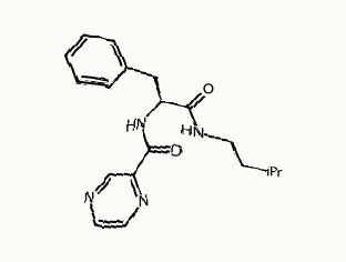 CC(C)C[CH]NC(=O)[C@H](Cc1ccccc1)NC(=O)c1cnccn1